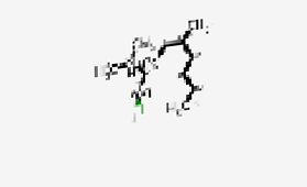 C[SiH](C)[CH2][Mg][Cl].[CH2]C(CC)CCCC